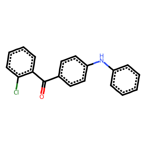 O=C(c1ccc(Nc2ccccc2)cc1)c1ccccc1Cl